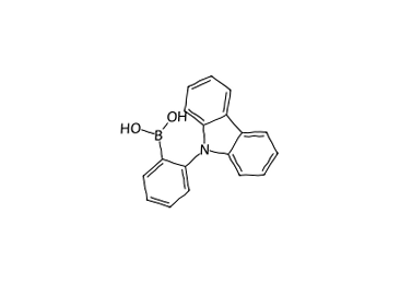 OB(O)c1ccccc1-n1c2ccccc2c2ccccc21